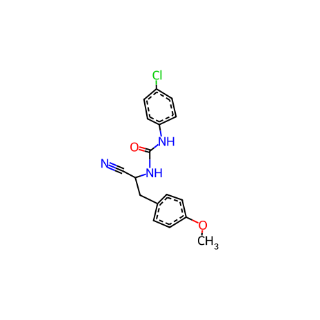 COc1ccc(CC(C#N)NC(=O)Nc2ccc(Cl)cc2)cc1